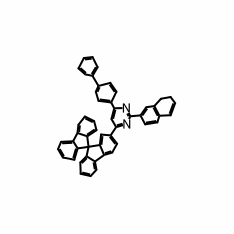 C1=Cc2ccc(-c3nc(-c4ccc(-c5ccccc5)cc4)cc(-c4ccc5c(c4)C4(c6ccccc6-c6ccccc64)c4ccccc4-5)n3)cc2CC1